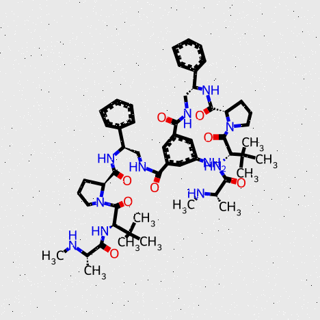 CN[C@@H](C)C(=O)N[C@H](C(=O)N1CCC[C@H]1C(=O)N[C@H](CNC(=O)c1cc(N)cc(C(=O)NC[C@@H](NC(=O)[C@@H]2CCCN2C(=O)[C@@H](NC(=O)[C@H](C)NC)C(C)(C)C)c2ccccc2)c1)c1ccccc1)C(C)(C)C